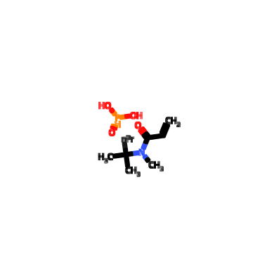 C=CC(=O)N(C)C(C)(C)CCC.O=[PH](O)O